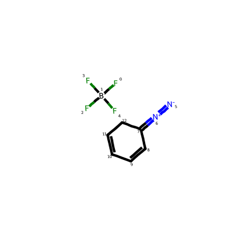 F[B-](F)(F)F.[N-]=[N+]=C1C=CC=CC1